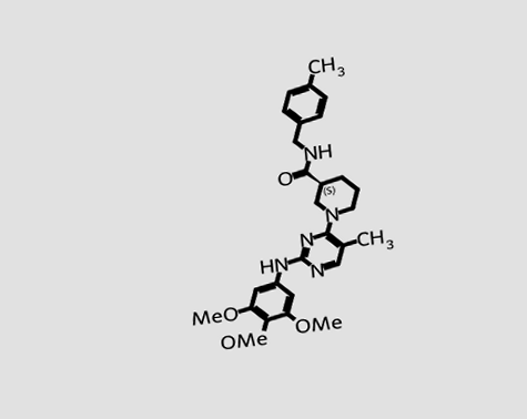 COc1cc(Nc2ncc(C)c(N3CCC[C@H](C(=O)NCc4ccc(C)cc4)C3)n2)cc(OC)c1OC